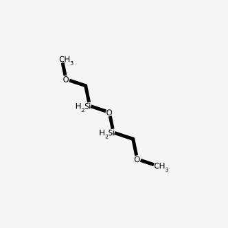 COC[SiH2]O[SiH2]COC